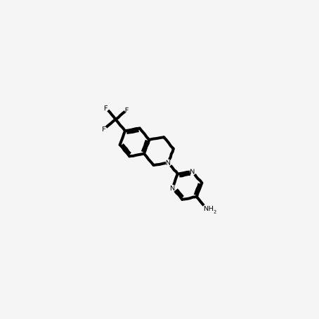 Nc1cnc(N2CCc3cc(C(F)(F)F)ccc3C2)nc1